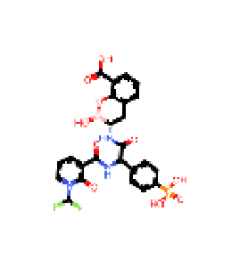 O=C(O)c1cccc2c1OB(O)[C@@H](NC(=O)C(NC(=O)c1cccn(C(F)F)c1=O)c1ccc(P(=O)(O)O)cc1)C2